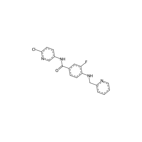 O=C(Nc1ccc(Cl)nc1)c1ccc(NCc2ccccn2)c(F)c1